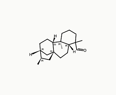 C[C@@H]1C[C@]23CC[C@H]4C(C)(C=O)CCC[C@]4(C)[C@H]2CC[C@@H]1C3